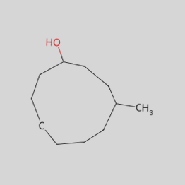 CC1CCCCCCC(O)CC1